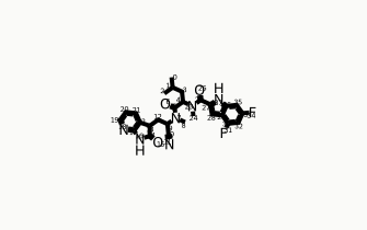 CC(C)CC(C(=O)N(C)C(C#N)CC1C(=O)Nc2ncccc21)N(C)C(=O)c1cc2c(F)cc(F)cc2[nH]1